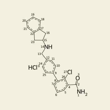 Cl.NC(=O)c1cccc(-c2ccc(CNC3Cc4ccccc4C3)cc2)c1Cl